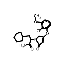 COc1cccc(OC2=CC(=O)N(C(CC3CCCCC3)C(N)=O)C2)c1Cl